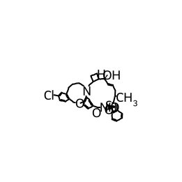 CC1C/C=C/[C@H](O)[C@@H]2CCC2CN2CCCCc3cc(Cl)ccc3COc3ccc(cc32)C(=O)NS(=O)(=O)[C@H]1Cc1ccccc1